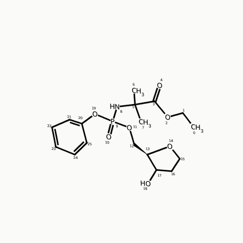 CCOC(=O)C(C)(C)NP(=O)(OC[C@H]1OCCC1O)Oc1ccccc1